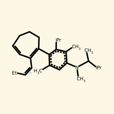 CC/C=C\C1=C(c2c(C)cc(N(C)C(C)C(C)C)c(C)c2C(C)C)CCCC=C1